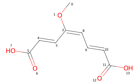 COC(/C=C/C(=O)O)=C/C=C/C(=O)O